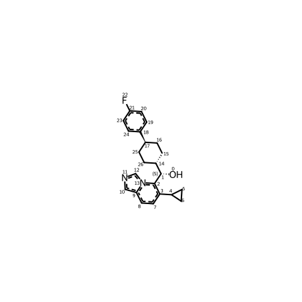 O[C@H](c1c(C2CC2)ccc2cncn12)[C@H]1CC[C@H](c2ccc(F)cc2)CC1